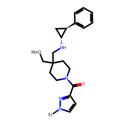 [CH2][CH]n1ccc(C(=O)N2CCC(CN[C@@H]3C[C@H]3c3ccccc3)(COC)CC2)n1